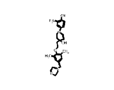 Cc1cc(CN2CCOCC2)cc(C)c1OCCC1(O)CCN(c2ccc(C#N)c(C(F)(F)F)c2)CC1